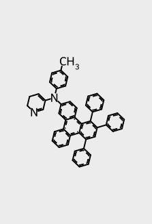 Cc1ccc(N(C2=CCCN=C2)c2ccc3c(c2)c2ccccc2c2c(-c4ccccc4)cc(-c4ccccc4)c(-c4ccccc4)c32)cc1